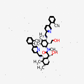 C[C@H]1[C@H](/C=C/c2ccc(-c3ccccc3C#N)cn2)[C@H]([C@@H](CO)C(=O)N(C)[C@@H]2C[C@H](C)[C@@H](C)[C@H](/C=C/c3ccc(-c4ccccc4C#N)cn3)[C@@H]2CCO)CC[C@@H]1C